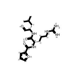 CC(C)C[C@@H](C=O)NC(=O)[C@H](CCCNC(=N)N)NC(=O)c1ccco1